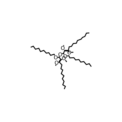 CCCCCCCCCCOC(OC(OCCCCCCCCCC)C(OC)=C(CCCCCCCCCC)OC)C(OC)=C(CCCCCCCCCC)OC